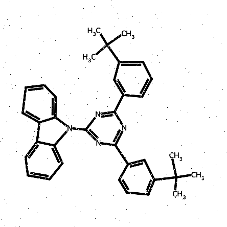 CC(C)(C)c1cccc(-c2nc(-c3cccc(C(C)(C)C)c3)nc(-n3c4ccccc4c4ccccc43)n2)c1